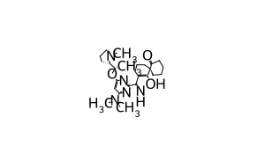 C[C@H](Oc1cc(N(C)C)nc(C(=N)C2=C(O)[C@]3(CCCCC3=O)CCC2)n1)[C@@H]1CCCN1C